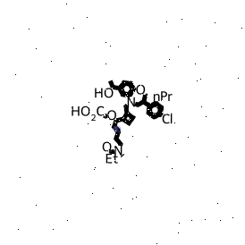 CCCc1cc(Cl)ccc1C1COc2ccc(C(C)O)cc2N(CC2CCC2C(/C=C/CCN(C)C(=O)CC)OCC(=O)O)C1